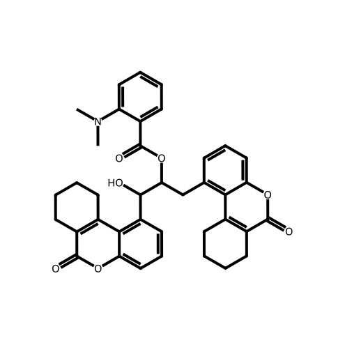 CN(C)c1ccccc1C(=O)OC(Cc1cccc2oc(=O)c3c(c12)CCCC3)C(O)c1cccc2oc(=O)c3c(c12)CCCC3